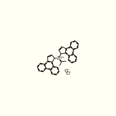 C[C](C)=[Zr+2]([CH]1C=Cc2c1c1ccccc1c1ccccc21)[CH]1C=Cc2c1c1ccccc1c1ccccc21.[Cl-].[Cl-]